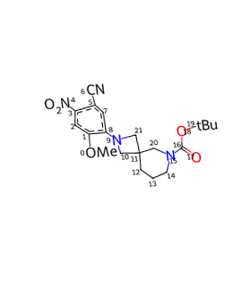 COc1cc([N+](=O)[O-])c(C#N)cc1N1CC2(CCCN(C(=O)OC(C)(C)C)C2)C1